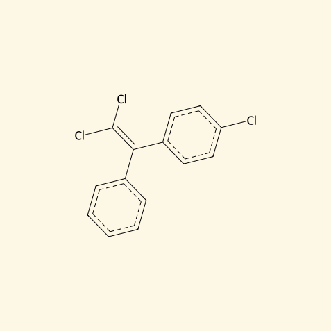 ClC(Cl)=C(c1ccccc1)c1ccc(Cl)cc1